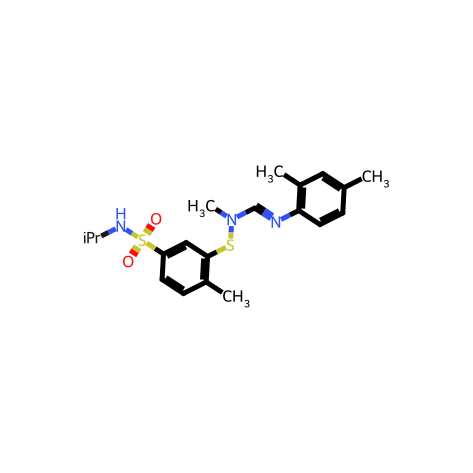 Cc1ccc(N=CN(C)Sc2cc(S(=O)(=O)NC(C)C)ccc2C)c(C)c1